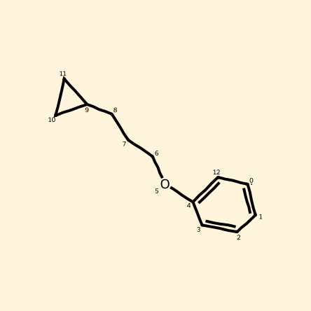 [c]1cccc(OCCCC2CC2)c1